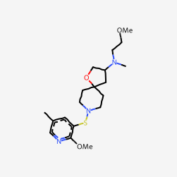 COCCN(C)C1COC2(CCN(Sc3cc(C)cnc3OC)CC2)C1